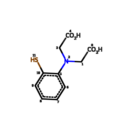 O=C(O)CN(CC(=O)O)c1ccccc1S